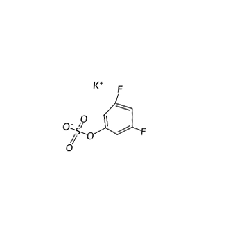 O=S(=O)([O-])Oc1cc(F)cc(F)c1.[K+]